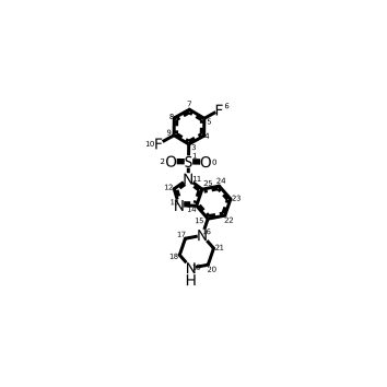 O=S(=O)(c1cc(F)ccc1F)n1cnc2c(N3CCNCC3)cccc21